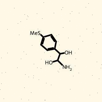 CSc1ccc(C(O)C(N)O)cc1